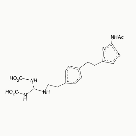 CC(=O)Nc1nc(CCc2ccc(CCNC(NC(=O)O)NC(=O)O)cc2)cs1